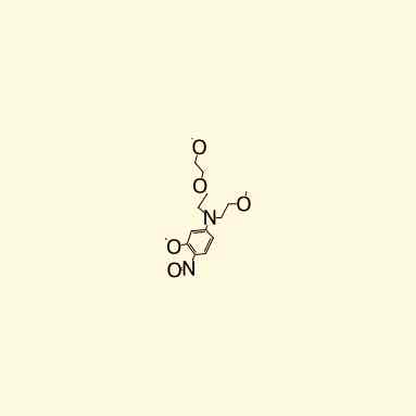 COCCOCCN(CCOC)c1ccc(N=O)c(OC)c1